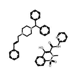 C(=C\c1ccccc1)/CN1CCN(C(c2ccccc2)c2ccccc2)CC1.CN1C(C(=O)Nc2ccccn2)=C(O)c2ccccc2S1(=O)=O